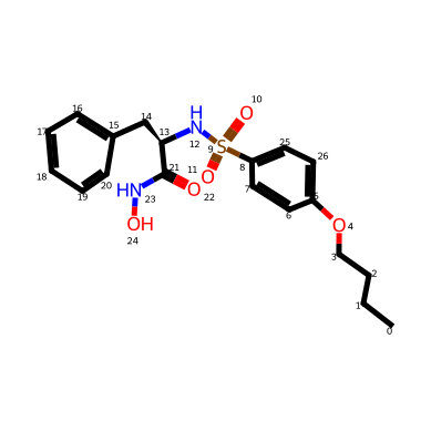 CCCCOc1ccc(S(=O)(=O)N[C@H](Cc2ccccc2)C(=O)NO)cc1